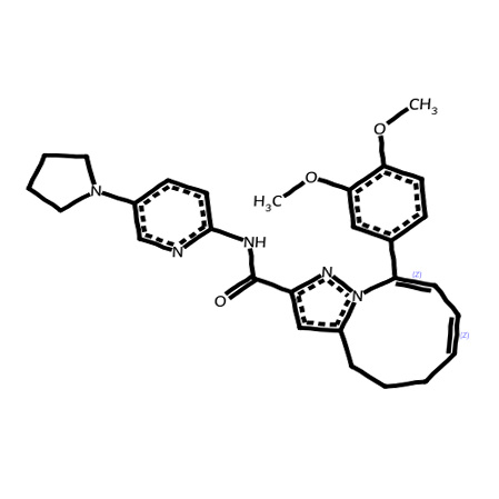 COc1ccc(/C2=C/C=C\CCCc3cc(C(=O)Nc4ccc(N5CCCC5)cn4)nn32)cc1OC